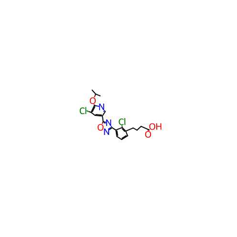 CC(C)Oc1ncc(-c2nc(-c3cccc(CCCC(=O)O)c3Cl)no2)cc1Cl